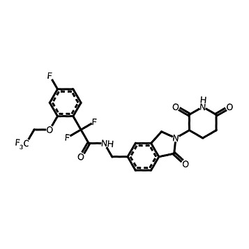 O=C1CCC(N2Cc3cc(CNC(=O)C(F)(F)c4ccc(F)cc4OCC(F)(F)F)ccc3C2=O)C(=O)N1